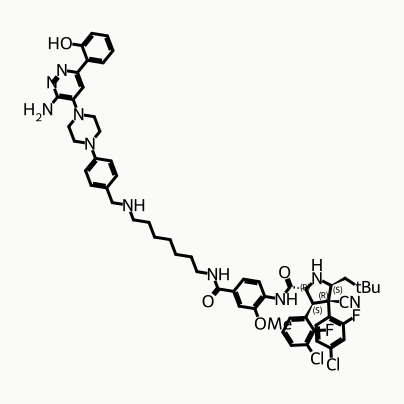 COc1cc(C(=O)NCCCCCCCNCc2ccc(N3CCN(c4cc(-c5ccccc5O)nnc4N)CC3)cc2)ccc1NC(=O)[C@@H]1N[C@@H](CC(C)(C)C)[C@](C#N)(c2ccc(Cl)cc2F)[C@H]1c1cccc(Cl)c1F